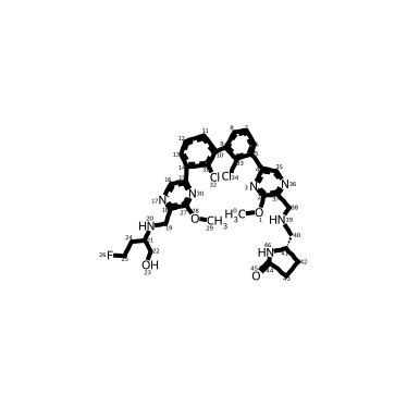 COc1nc(-c2cccc(-c3cccc(-c4cnc(CNC(CO)CCF)c(OC)n4)c3Cl)c2Cl)cnc1CNC[C@@H]1CCC(=O)N1